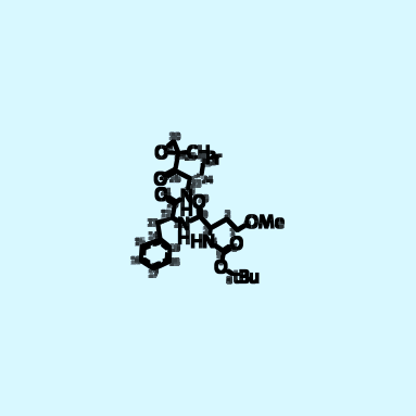 COCCC(NC(=O)OC(C)(C)C)C(=O)N[C@@H](Cc1ccccc1)C(=O)N[C@@H](CC(C)C)C(=O)[C@@]1(C)CO1